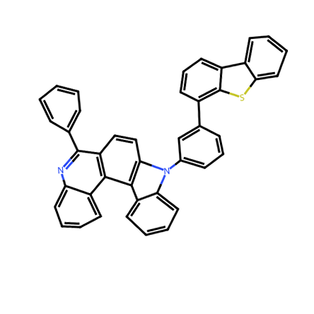 c1ccc(-c2nc3ccccc3c3c2ccc2c3c3ccccc3n2-c2cccc(-c3cccc4c3sc3ccccc34)c2)cc1